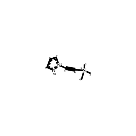 C[Si](C)(C)C#Cn1cccn1